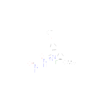 COc1cccc(-n2nc(NC(=O)[C@@H]3CNC(=O)C3)cc2-c2cccc(COCC(F)(F)F)c2)c1F